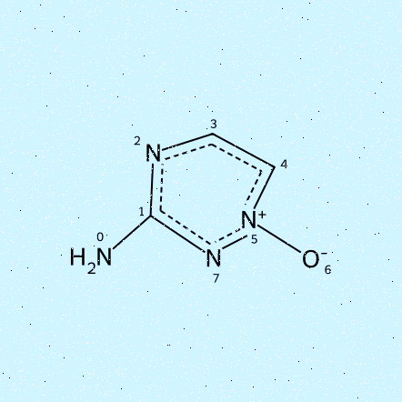 Nc1ncc[n+]([O-])n1